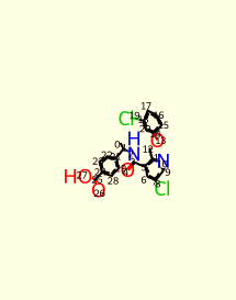 CC(NC(=O)c1cc(Cl)cnc1COc1cccc(Cl)c1)c1ccc(C(=O)O)cc1